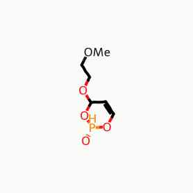 COCCOC1C=CO[PH](=O)O1